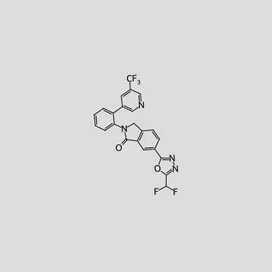 O=C1c2cc(-c3nnc(C(F)F)o3)ccc2CN1c1ccccc1-c1cncc(C(F)(F)F)c1